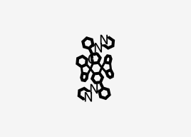 c1ccc(-n2c3ccccc3c3cc4c(cc32)C2(c3ccccc3-c3ccccc32)c2cc3c5ccccc5n(-c5ccccn5)c3cc2C42c3ccccc3-c3ccccc32)nc1